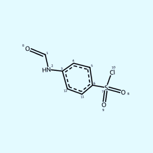 O=CNc1ccc(S(=O)(=O)Cl)cc1